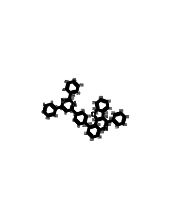 c1ccc(-c2cc(-c3ccc(-c4cccc5nc(-c6ccccc6)c6c7ccccc7oc6c45)cc3)nc(-c3ccccc3)n2)cc1